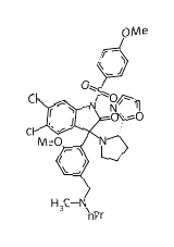 CCCN(C)Cc1ccc(OC)c(C2(N3CCC[C@H]3c3ncco3)C(=O)N(S(=O)(=O)c3ccc(OC)cc3)c3cc(Cl)c(Cl)cc32)c1